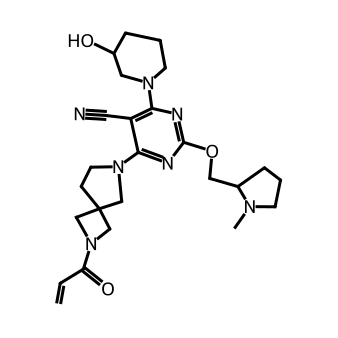 C=CC(=O)N1CC2(CCN(c3nc(OCC4CCCN4C)nc(N4CCCC(O)C4)c3C#N)C2)C1